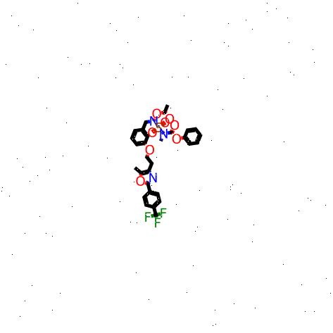 CC(=O)ON(Cc1cccc(OCCc2nc(-c3ccc(C(F)(F)F)cc3)oc2C)c1)S(=O)(=O)N(C)C(=O)Oc1ccccc1